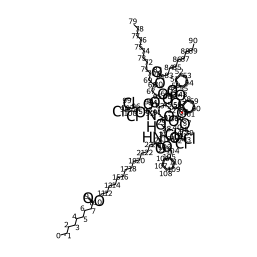 [CH2]CCCCCCCC(=O)OCCCCCCCCCCCCCC(=O)N[C@@H](CO[C@@H]1O[C@H](COC(=O)OC(C)(C)C(Cl)(Cl)Cl)[C@@H](OP(=O)(Oc2ccccc2)Oc2ccccc2)[C@H](OC(=O)C[C@@H](CCCCCCCCCCC)OC(=O)CCCCCCCC)[C@H]1NC(=O)OCC(Cl)(Cl)Cl)C(=O)OCc1ccccc1